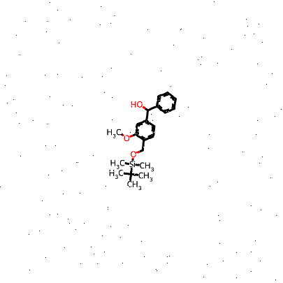 COc1cc(C(O)c2ccccc2)ccc1CO[Si](C)(C)C(C)(C)C